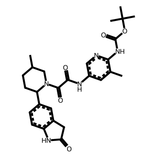 Cc1cc(NC(=O)C(=O)N2CC(C)CCC2c2ccc3c(c2)CC(=O)N3)cnc1NC(=O)OC(C)(C)C